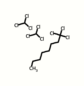 CCCCCCCC(Cl)(Cl)Cl.ClC(Cl)Cl.ClC(Cl)Cl